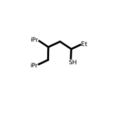 CCC(S)CC(CC(C)C)C(C)C